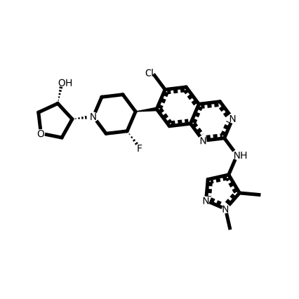 Cc1c(Nc2ncc3cc(Cl)c([C@@H]4CCN([C@@H]5COC[C@@H]5O)C[C@H]4F)cc3n2)cnn1C